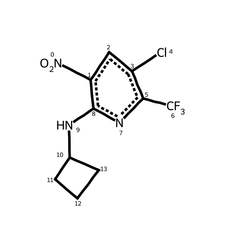 O=[N+]([O-])c1cc(Cl)c(C(F)(F)F)nc1NC1CCC1